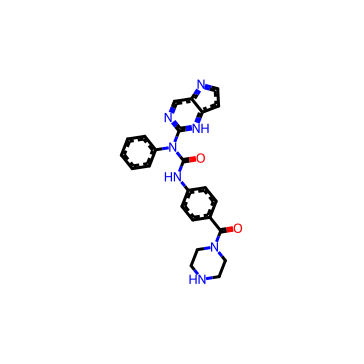 O=C(c1ccc(NC(=O)N(c2ccccc2)c2ncc3nccc-3[nH]2)cc1)N1CCNCC1